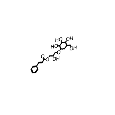 O=C(/C=C/c1ccccc1)OC[C@@H](O)COC1CC(CO)C(O)C(O)C1O